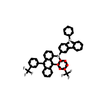 FC(F)(F)c1cccc(-c2c3ccccc3c(-c3cccc(C(F)(F)F)c3)c3c(N(c4ccccc4)c4ccc5c(c4)c4ccccc4n5-c4ccccc4)cccc23)c1